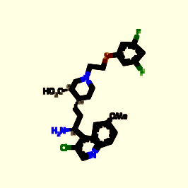 COc1ccc2ncc(Cl)c([C@@H](N)CC[C@H]3CCN(CCSc4cc(F)cc(F)c4)C[C@H]3C(=O)O)c2c1